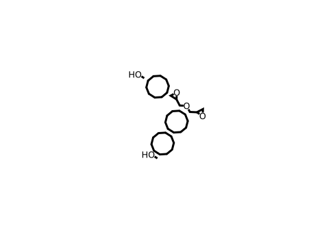 C(OCC1CO1)C1CO1.C1CCCCCCCCC1.C1CCCCCCCCC1.C1CCCCCCCCC1.CO.CO